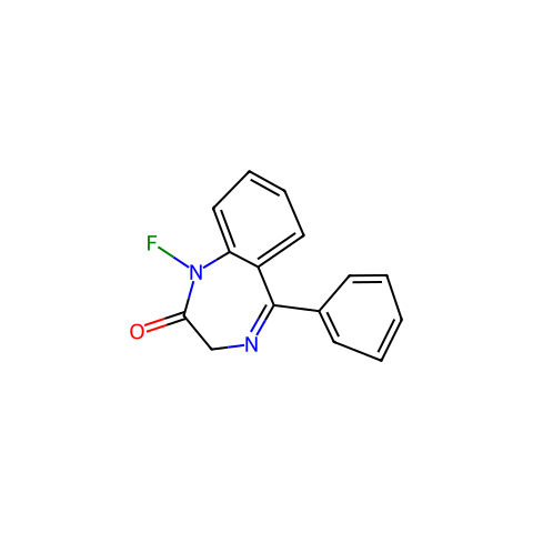 O=C1CN=C(c2ccccc2)c2ccccc2N1F